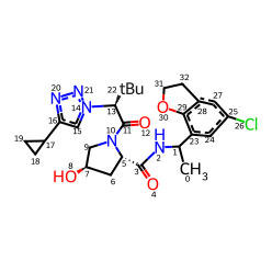 CC(NC(=O)[C@@H]1C[C@@H](O)CN1C(=O)[C@@H](n1cc(C2CC2)nn1)C(C)(C)C)c1cc(Cl)cc2c1OCC2